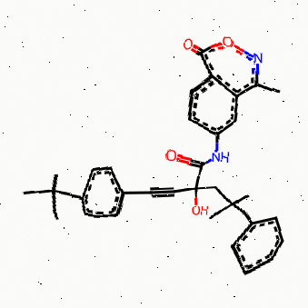 Cc1noc(=O)c2ccc(NC(=O)C(O)(C#Cc3ccc(C(C)(C)C)cc3)CC(C)(C)c3ccccc3)cc12